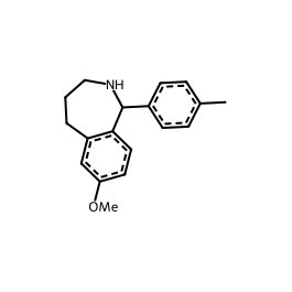 COc1ccc2c(c1)CCCNC2c1ccc(C)cc1